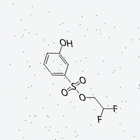 O=S(=O)(OCC(F)F)c1cccc(O)c1